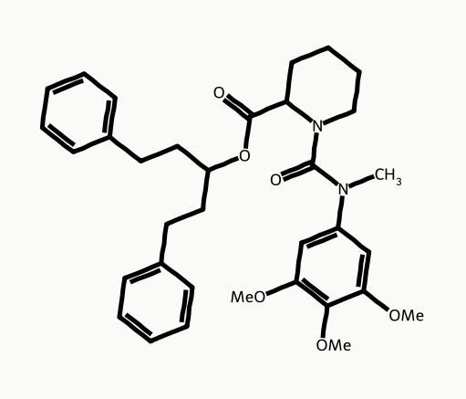 COc1cc(N(C)C(=O)N2CCCCC2C(=O)OC(CCc2ccccc2)CCc2ccccc2)cc(OC)c1OC